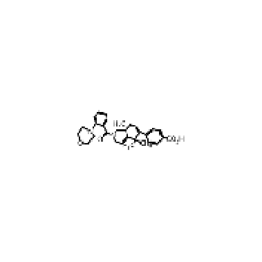 CC1(C)C(c2ccc(C(=O)O)cc2)=CC[C@]2(C)CN(C(=O)c3ccccc3N3CCOCC3)CC=C12